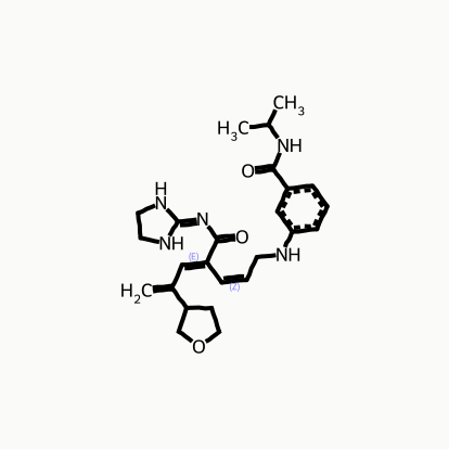 C=C(/C=C(\C=C/CNc1cccc(C(=O)NC(C)C)c1)C(=O)N=C1NCCN1)C1CCOC1